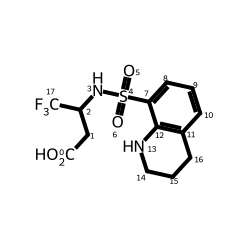 O=C(O)CC(NS(=O)(=O)c1cccc2c1NCCC2)C(F)(F)F